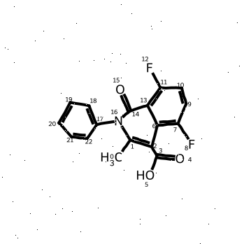 Cc1c(C(=O)O)c2c(F)ccc(F)c2c(=O)n1-c1ccccc1